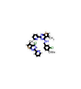 COc1ccc(CNc2nc(-c3ccccn3)nc3scc(C)c23)cc1Cl.Cc1csc2nc(-c3ccccn3)nc(Cl)c12